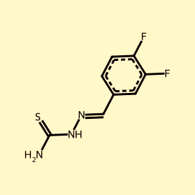 NC(=S)N/N=C/c1ccc(F)c(F)c1